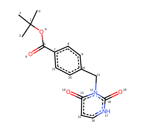 CC(C)(C)OC(=O)c1ccc(Cn2c(=O)cc[nH]c2=O)cc1